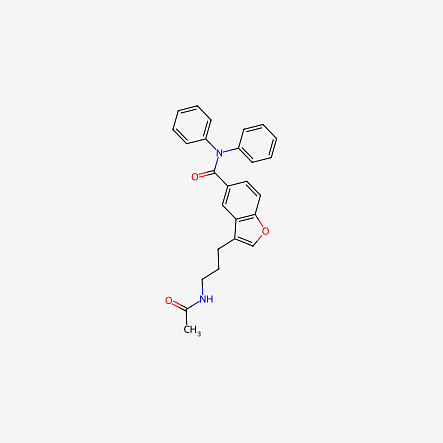 CC(=O)NCCCc1coc2ccc(C(=O)N(c3ccccc3)c3ccccc3)cc12